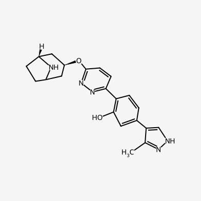 Cc1n[nH]cc1-c1ccc(-c2ccc(O[C@H]3CC4CC[C@H](C3)N4)nn2)c(O)c1